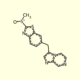 C[S+]([O-])c1nc2ccc(Cc3cnc4cnccn34)cc2s1